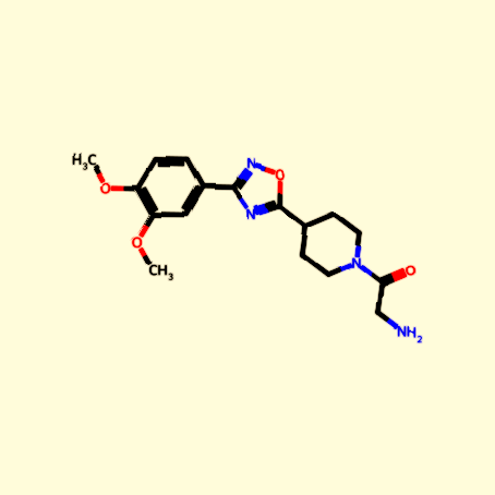 COc1ccc(-c2noc(C3CCN(C(=O)CN)CC3)n2)cc1OC